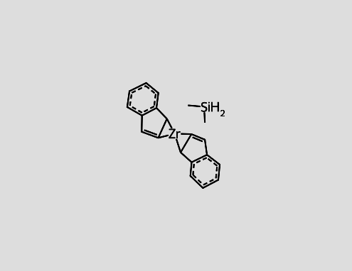 C1=[C]2[CH](c3ccccc31)[Zr]21[C]2=Cc3ccccc3[CH]21.C[SiH2]C